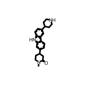 CN1CCC(c2ccc3c(c2)[nH]c2ccc(C4CCNCC4)cc23)CC1=O